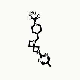 CC(C)(C)OC(=O)N1CCC(CN2CCC23CN(c2ncc(I)cn2)C3)CC1